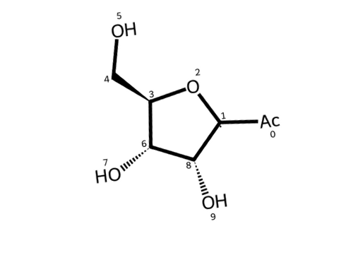 CC(=O)[C]1O[C@H](CO)[C@@H](O)[C@H]1O